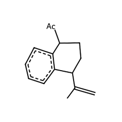 C=C(C)C1CCC(C(C)=O)c2ccccc21